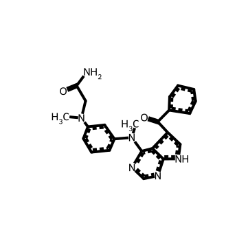 CN(CC(N)=O)c1cccc(N(C)c2ncnc3[nH]cc(C(=O)c4ccccc4)c23)c1